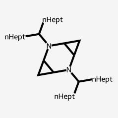 CCCCCCCC(CCCCCCC)N1C2CC2N(C(CCCCCCC)CCCCCCC)C2CC21